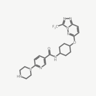 O=C(NC1CCC(Oc2ccc3nnc(C(F)(F)F)n3n2)CC1)c1ccc(N2CCNCC2)nc1